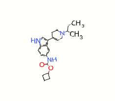 CCC(C)N1CC=C(c2c[nH]c3ccc(NC(=O)OC4CCC4)cc23)CC1